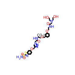 NS(=O)(=O)c1nc2ccc(OCc3cn(CC(=O)NC(COCc4cccc(OCCNC(=O)CN(CCO)CCO)c4)C(=O)O)nn3)cc2s1